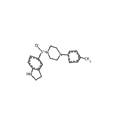 [O-][S+](c1ccc2c(c1)CCN2)N1CCN(c2ccc(C(F)(F)F)cc2)CC1